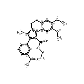 CCOC(=O)c1c(-c2cccc(C(=O)O)c2)c(C)n2c1-c1cc(OC)c(OC)cc1CC2